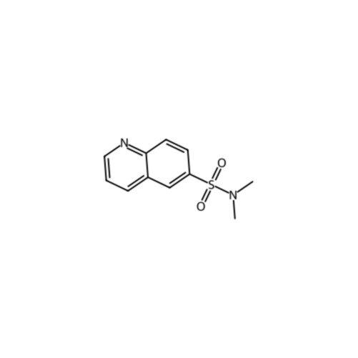 CN(C)S(=O)(=O)c1ccc2ncccc2c1